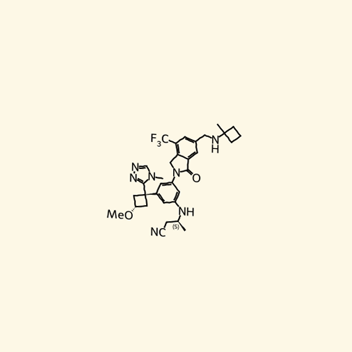 CO[C@H]1C[C@@](c2cc(N[C@@H](C)CC#N)cc(N3Cc4c(cc(CNC5(C)CCC5)cc4C(F)(F)F)C3=O)c2)(c2nncn2C)C1